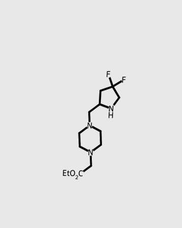 CCOC(=O)CN1CCN(CC2CC(F)(F)CN2)CC1